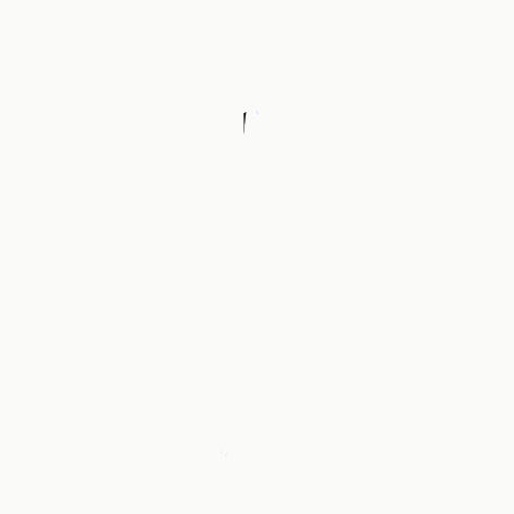 CC/C=C/[C@H]1CO[C@H](C2CCC(c3ccc(C#N)c(F)c3)CC2)OC1